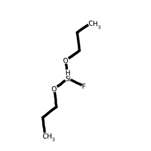 CCCO[SiH](F)OCCC